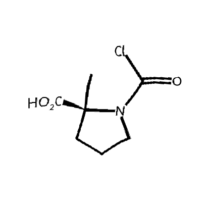 C[C@@]1(C(=O)O)CCCN1C(=O)Cl